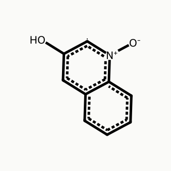 [O-][n+]1[c]c(O)cc2ccccc21